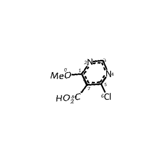 COc1ncnc(Cl)c1C(=O)O